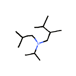 CC(C)CN(CC(C)C(C)C)C(C)C